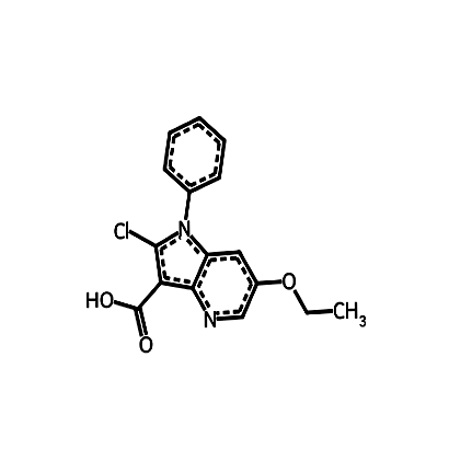 CCOc1cnc2c(C(=O)O)c(Cl)n(-c3ccccc3)c2c1